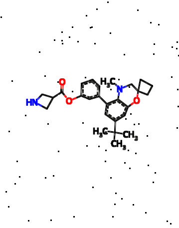 CN1CC2(CCC2)Oc2cc(C(C)(C)C)cc(-c3cccc(OC(=O)C4CNC4)c3)c21